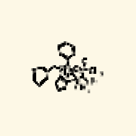 CCCC([Si](C)(C)Cl)[Si](C)(C)C1=[C]([Zr]([CH2]c2ccccc2)[CH2]c2ccccc2)CC=C1